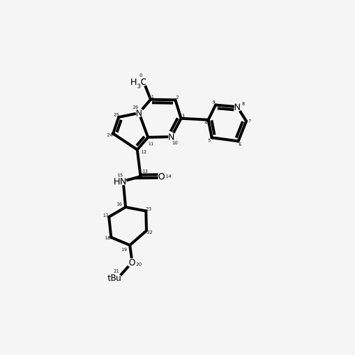 Cc1cc(-c2cccnc2)nc2c(C(=O)NC3CCC(OC(C)(C)C)CC3)ccn12